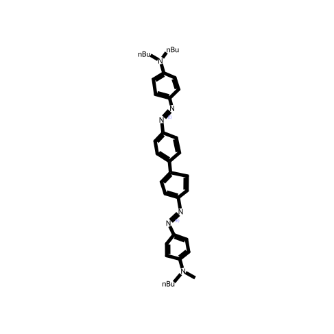 CCCCN(C)c1ccc(/N=N/c2ccc(-c3ccc(/N=N/c4ccc(N(CCCC)CCCC)cc4)cc3)cc2)cc1